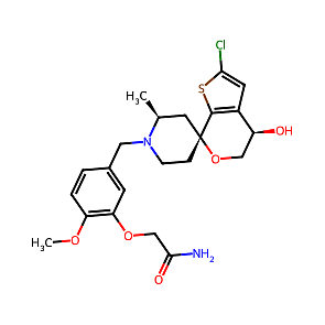 COc1ccc(CN2CC[C@]3(C[C@@H]2C)OC[C@H](O)c2cc(Cl)sc23)cc1OCC(N)=O